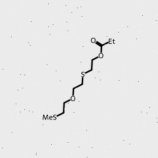 [CH2]CC(=O)OCCSCCOCCS[CH2]